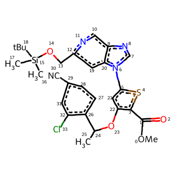 COC(=O)c1sc(-n2cnc3cnc(CO[Si](C)(C)C(C)(C)C)cc32)cc1OC(C)c1ccc(C#N)cc1Cl